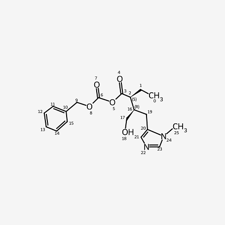 CC[C@H](C(=O)OC(=O)OCc1ccccc1)[C@H](CO)Cc1cncn1C